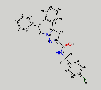 CC(C)(NC(=O)C1=NN(CCc2ccccc2)C(c2ccccc2)C1)c1ccc(F)cc1